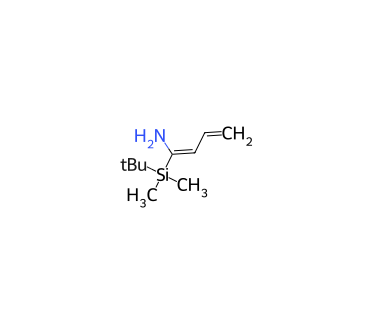 C=CC=C(N)[Si](C)(C)C(C)(C)C